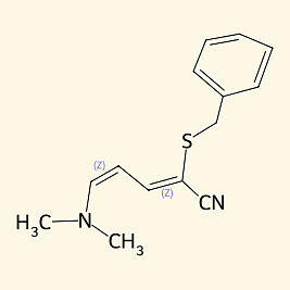 CN(C)/C=C\C=C(\C#N)SCc1ccccc1